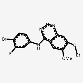 CCOc1cc2nnnc(Nc3ccc(Br)c(F)c3)c2cc1OC